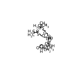 C=C1NC(=O)C=CN1[C@@H]1O[C@](F)(COP(=O)(OCCOCCSC(=O)C(C)C)OCCOCCSC(=O)C(C)(C)C)[C@@H](O)[C@@]1(C)O